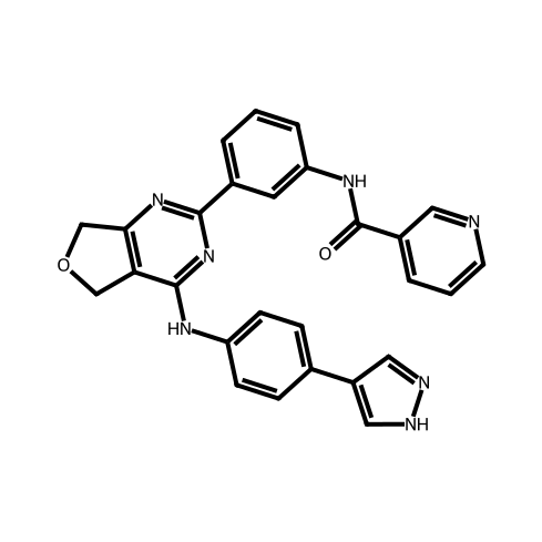 O=C(Nc1cccc(-c2nc3c(c(Nc4ccc(-c5cn[nH]c5)cc4)n2)COC3)c1)c1cccnc1